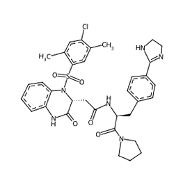 Cc1cc(S(=O)(=O)N2c3ccccc3NC(=O)[C@H]2CC(=O)N[C@@H](Cc2ccc(C3=NCCN3)cc2)C(=O)N2CCCC2)c(C)cc1Cl